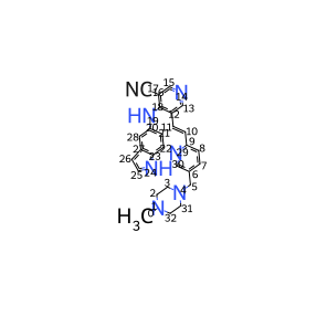 CN1CCN(Cc2ccc(C=Cc3cncc(C#N)c3Nc3ccc4[nH]ccc4c3)nc2)CC1